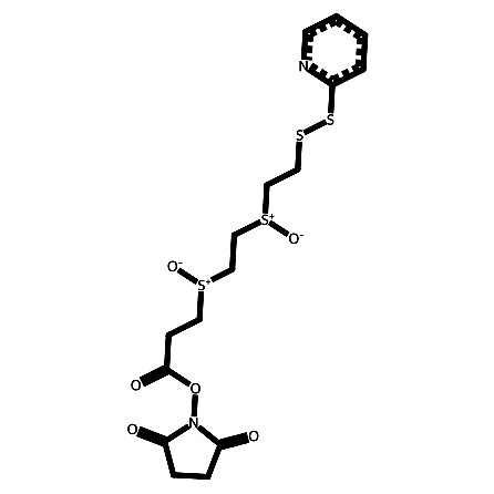 O=C(CC[S+]([O-])CC[S+]([O-])CCSSc1ccccn1)ON1C(=O)CCC1=O